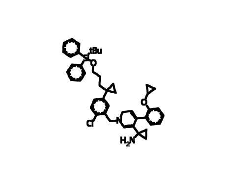 CC(C)(C)[Si](OCCCC1(c2ccc(Cl)c(CN3C=C(C4(N)CC4)C(c4ccccc4OC4CC4)=CC3)c2)CC1)(c1ccccc1)c1ccccc1